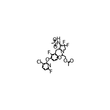 CC(=O)OCC(=O)N1CC(F)(F)[C@H](NS(C)(=O)=O)[C@@H]1Cc1cccc(Oc2nc(F)ccc2Cl)c1F